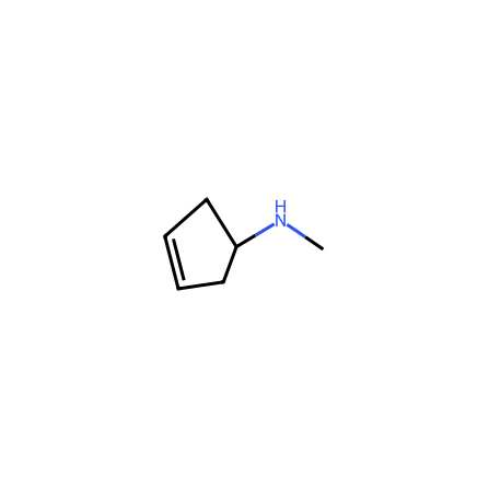 CNC1CC=CC1